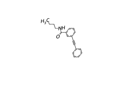 CCCCNC(=O)c1cccc(C#Cc2ccccc2)c1